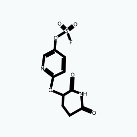 O=C1CCC(Oc2ccc(OS(=O)(=O)F)cn2)C(=O)N1